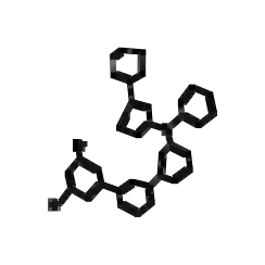 Brc1cc(Br)cc(-c2cccc(-c3cccc(N(c4ccccc4)c4cccc(-c5ccccc5)c4)c3)c2)c1